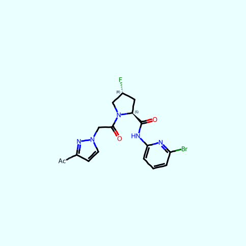 CC(=O)c1ccn(CC(=O)N2C[C@H](F)C[C@H]2C(=O)Nc2cccc(Br)n2)n1